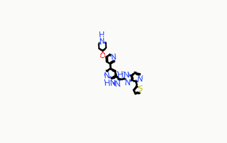 c1csc(-c2nccc3[nH]c(-c4n[nH]c5ncc(-c6cncc(OC7CCNCC7)c6)cc45)nc23)c1